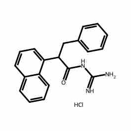 Cl.N=C(N)NC(=O)C(Cc1ccccc1)c1cccc2ccccc12